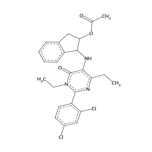 CCc1nc(-c2ccc(Cl)cc2Cl)n(CC)c(=O)c1NC1c2ccccc2CC1OC(C)=O